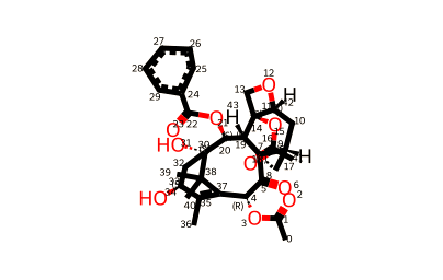 CC(=O)O[C@H]1C(=O)[C@]23C[C@H]2C[C@H]2OC[C@@]2(OC(C)=O)[C@H]3[C@H](OC(=O)c2ccccc2)[C@]2(O)C[C@H](O)C(C)=C1C2(C)C